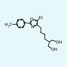 CCc1oc(-c2ccc(C)cc2)nc1CCCCC(CO)CO